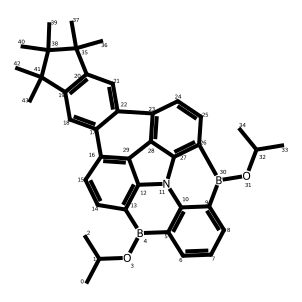 CC(C)OB1c2cccc3c2-n2c4c1ccc1c5cc6c(cc5c5ccc(c2c5c14)B3OC(C)C)C(C)(C)C(C)(C)C6(C)C